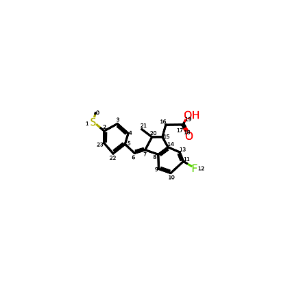 CSc1ccc(C=C2c3ccc(F)cc3C(CC(=O)O)C2C)cc1